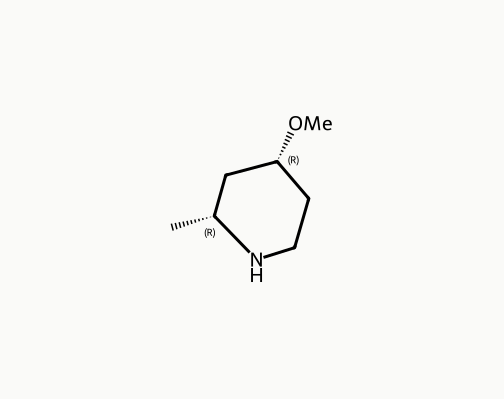 CO[C@@H]1CCN[C@H](C)C1